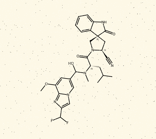 COc1cc(C(O)N(C)[C@@H](CC(C)C)C(=O)N2C[C@]3(C[C@H]2C#N)C(=O)Nc2ccccc23)cn2cc(C(F)F)nc12